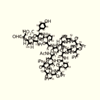 CC(=O)N[C@@H](C)C(=O)N[C@@H](C)C(=O)N[C@H](C(=O)N[C@@H](C)C(=O)N[C@@H](CC(C)C)C(=O)N[C@@H](CC(C)C)C(=O)N1CCC[C@H]1C(=O)N[C@@H](C)C(=O)N[C@H](C(=O)N[C@@H](CC(C)C)C(=O)N[C@@H](CC(C)C)C(=O)N[C@@H](C)C(=O)N[C@@H](CC(C)C)C(=O)N[C@@H](CC(C)C)C(=O)N[C@@H](C)C(=O)N1CCC[C@H]1C(=O)N[C@@H](Cc1ccc(O)cc1)C(=O)N[C@H](C(=O)N[C@@H](C)C(=O)N[C@H](C=O)CC(=O)O)C(C)C)C(C)C)C(C)C